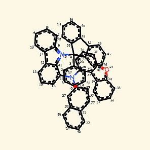 c1ccc(C2(n3c4ccccc4c4cccc(N(c5ccc6ccccc6c5)c5cccc6oc7ccccc7c56)c43)c3ccccc3-c3ccccc32)cc1